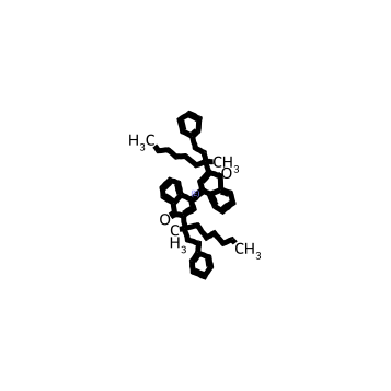 CCCCCCC(C)(CCc1ccccc1)C1=C/C(=C2/C=C(C(C)(CCCCCC)CCc3ccccc3)C(=O)c3ccccc32)c2ccccc2C1=O